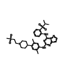 Cc1cc(C2CCN(CCS(C)(=O)=O)CC2)c(C)cc1Nc1nc(Nc2ccccc2S(=O)(=O)C(C)C)n2nccc2n1